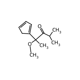 COC(C)(C(=O)C(C)C)C1=CC=CC1